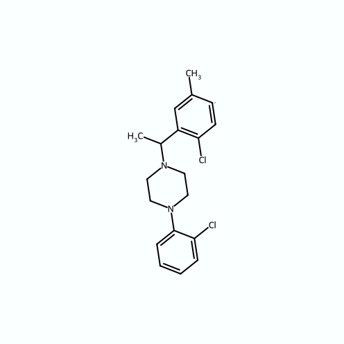 Cc1[c]cc(Cl)c(C(C)N2CCN(c3ccccc3Cl)CC2)c1